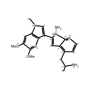 COc1cc2c(nc1OC)c(-c1cc3c(CC(C)N)ccnc3[nH]1)cn2C.N